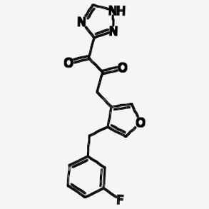 O=C(Cc1cocc1Cc1cccc(F)c1)C(=O)c1nc[nH]n1